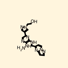 NNc1ncc(-c2cnn(CCO)c2)nc1NCc1ccn2nccc2n1